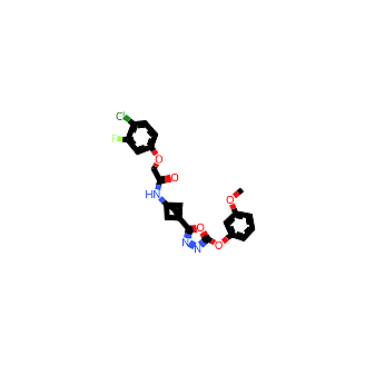 COc1cccc(Oc2nnc(C34CC(NC(=O)COc5ccc(Cl)c(F)c5)(C3)C4)o2)c1